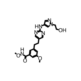 CONC(=O)c1cc(CCc2cnc(Nc3cnn(CCO)c3)nc2)cc(OC)c1